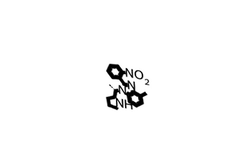 Cc1cccc2c1nc(-c1ccccc1[N+](=O)[O-])n2[C@@H](C)C1CCCN1